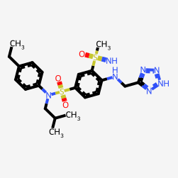 CCc1ccc(N(CC(C)C)S(=O)(=O)c2ccc(NCc3nn[nH]n3)c(S(C)(=N)=O)c2)cc1